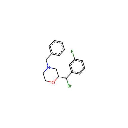 Fc1cccc(C(Br)[C@H]2CN(Cc3ccccc3)CCO2)c1